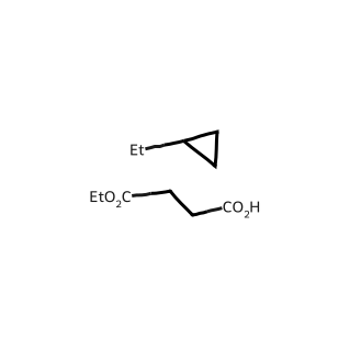 CCC1CC1.CCOC(=O)CCC(=O)O